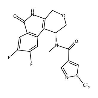 CN(C(=O)c1cnn(C(F)(F)F)c1)[C@H]1COCc2[nH]c(=O)c3cc(F)c(F)cc3c21